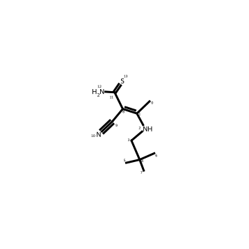 CC(NCC(C)(C)C)=C(C#N)C(N)=S